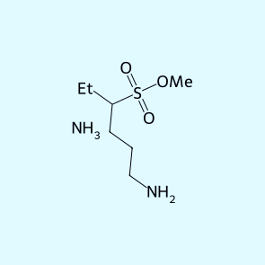 CCC(CCCN)S(=O)(=O)OC.N